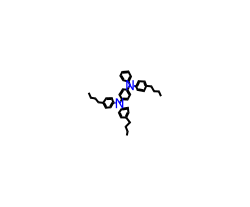 CCCCc1ccc(N(c2ccccc2)c2ccc(N(c3ccc(CCCC)cc3)c3ccc(CCCC)cc3)cc2)cc1